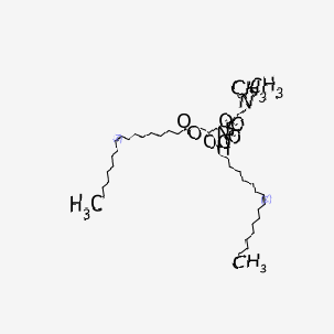 CCCCCCCC/C=C\CCCCCCCC(=O)OCC(CNS(=O)(=O)OCCN(CC)CC)OC(=O)CCCCCCC/C=C\CCCCCCCC